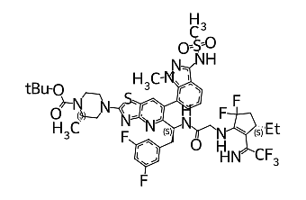 CC[C@H]1CC(F)(F)C(NCC(=O)N[C@@H](Cc2cc(F)cc(F)c2)c2nc3nc(N4CCN(C(=O)OC(C)(C)C)[C@@H](C)C4)sc3cc2-c2cccc3c(NS(C)(=O)=O)nn(C)c23)=C1C(=N)C(F)(F)F